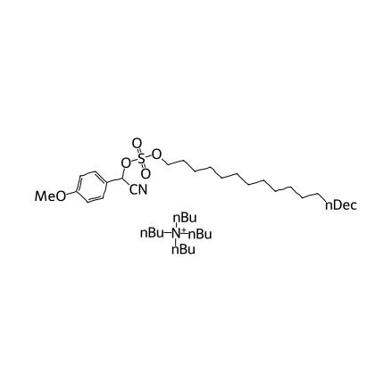 CCCCCCCCCCCCCCCCCCCCCCOS(=O)(=O)OC(C#N)c1ccc(OC)cc1.CCCC[N+](CCCC)(CCCC)CCCC